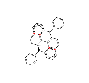 C1=C2OCOC2=C(c2c(P(c3ccccc3)c3ccccc3)ccc3c2OCO3)[C@@H](P(c2ccccc2)c2ccccc2)C1